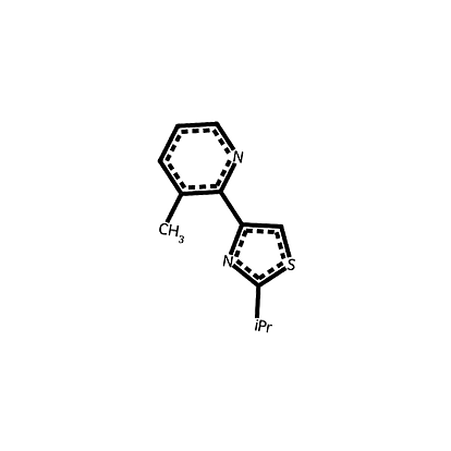 Cc1cccnc1-c1csc(C(C)C)n1